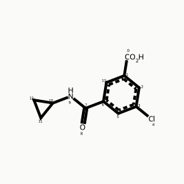 O=C(O)c1cc(Cl)cc(C(=O)NC2CC2)c1